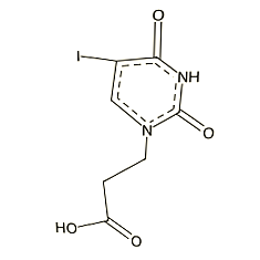 O=C(O)CCn1cc(I)c(=O)[nH]c1=O